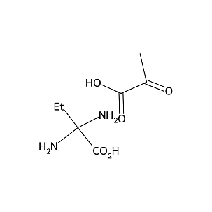 CC(=O)C(=O)O.CCC(N)(N)C(=O)O